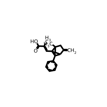 C=C1CC2(C)CC1C(c1ccccc1)=C2C=C(C)C(=O)O